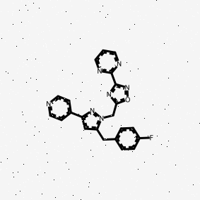 Fc1ccc(Cc2cc(-c3ccncc3)nn2Cc2nc(-c3ncccn3)no2)cc1